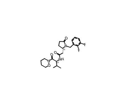 CC(C)[C@H](NC(=O)C[C@@H]1CCC(=O)N1Cc1cccc(F)c1F)C(=O)N1CCCCO1